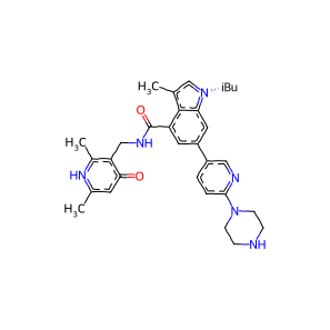 CC[C@@H](C)n1cc(C)c2c(C(=O)NCc3c(C)[nH]c(C)cc3=O)cc(-c3ccc(N4CCNCC4)nc3)cc21